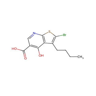 CCCCc1c(Br)sc2ncc(C(=O)O)c(O)c12